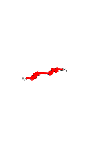 CCCCCCCN1C(=O)c2cccc3c(-c4ccc(-c5ccc6c7c(cccc57)C(=O)N(CCCCCCCCCCCCCCN5C(=O)c7cccc8c(-c9c%10ccccc%10c(-c%10ccc%11c%12c(cccc%10%12)C(=O)N(CCCCCCC)C%11=O)c%10ccccc9%10)ccc(c78)C5=O)C6=O)c5ccccc45)ccc(c23)C1=O